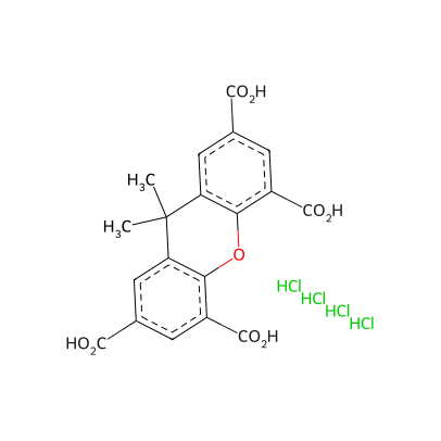 CC1(C)c2cc(C(=O)O)cc(C(=O)O)c2Oc2c(C(=O)O)cc(C(=O)O)cc21.Cl.Cl.Cl.Cl